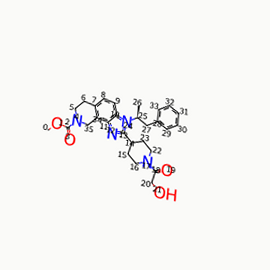 COC(=O)N1CCc2ccc3c(nc(C4CCN(C(=O)CO)CC4)n3[C@@H](C)Cc3ccccc3)c2C1